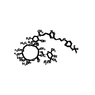 CC[C@H]1OC(=O)[C@H](C)[C@@H](OC[C@H]2C[C@@](C)(OC)[C@@H](O)[C@H](C)O2)[C@H](C)[C@@H](O[C@@H]2O[C@H](C)C[C@H](N(C)CCc3cn(CCCOc4ccc(SC(F)(F)F)cc4)nn3)[C@H]2O)[C@](C)(O)C[C@@H](C)CN(C)[C@H](C)[C@@H](O)[C@]1(C)O